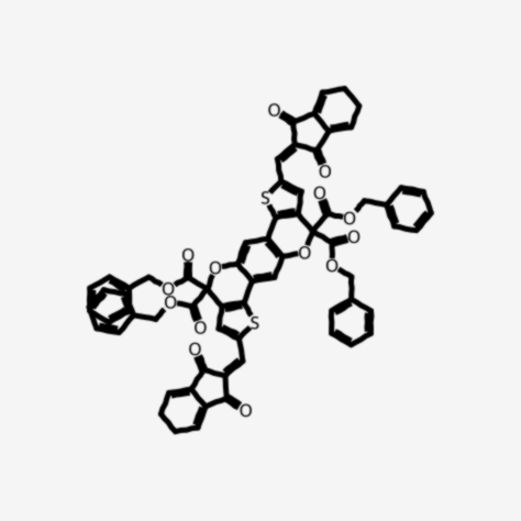 O=C1C(=Cc2cc3c(s2)-c2cc4c(cc2OC3(C(=O)OCc2ccccc2)C(=O)OCc2ccccc2)-c2sc(C=C3C(=O)C5=CCCC=C5C3=O)cc2C(C(=O)OCc2ccccc2)(C(=O)OCc2ccccc2)O4)C(=O)C2=CCCC=C12